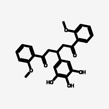 COc1ccccc1C(=O)CC(CC(=O)c1ccccc1OC)c1cc(O)c(O)c(O)c1